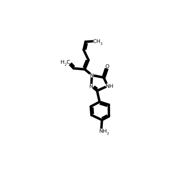 C=C/C(=C\C=C/C)n1nc(-c2ccc(N)cc2)[nH]c1=O